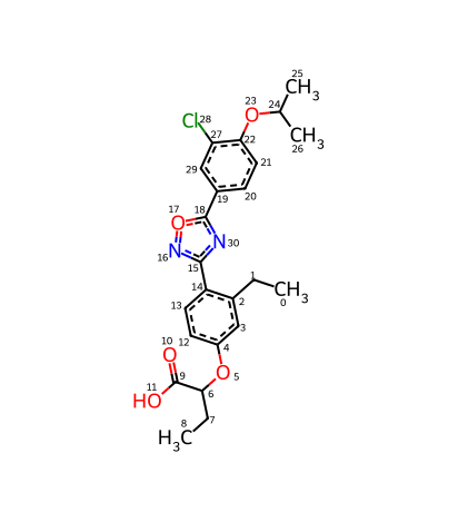 CCc1cc(OC(CC)C(=O)O)ccc1-c1noc(-c2ccc(OC(C)C)c(Cl)c2)n1